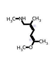 CNC/C(C)=C\C=C(/C)OC